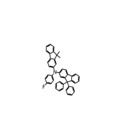 CC1(C)c2ccccc2-c2ccc(N(c3ccc(F)cc3)c3ccc4c(c3)C(c3ccccc3)(c3ccccc3)c3ccccc3-4)cc21